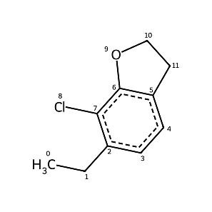 CCc1ccc2c(c1Cl)OCC2